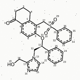 O=C1CCCc2c1ccc(O[C@H](Cn1ccnc1CO)c1ccccc1)c2CS(=O)(=O)c1ccccc1